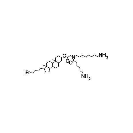 CC(C)CCCCC1CCC2C3CC=C4CC(OC(=O)CN(CCCCCCCCN)C(=O)CCCCCN)CCC4(C)C3CCC12C